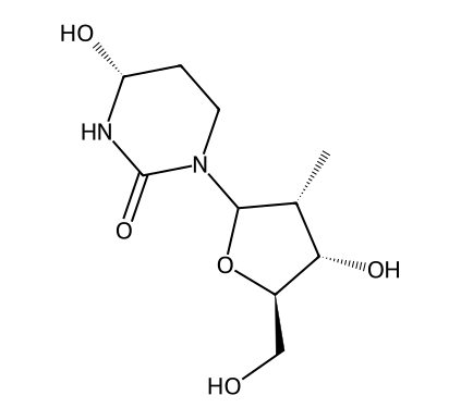 C[C@H]1C(N2CC[C@@H](O)NC2=O)O[C@H](CO)[C@H]1O